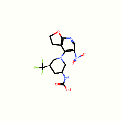 O=C(O)N[C@H]1C[C@@H](C(F)(F)F)CN(c2c([N+](=O)[O-])cnc3c2CCO3)C1